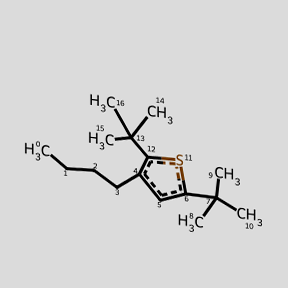 CCCCc1cc(C(C)(C)C)sc1C(C)(C)C